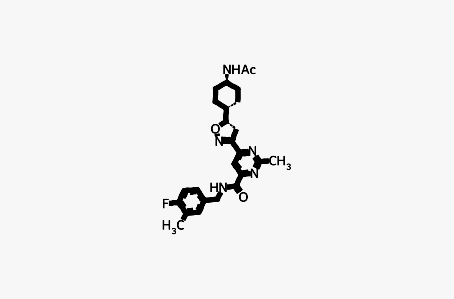 CC(=O)N[C@H]1CC[C@H]([C@@H]2CC(c3cc(C(=O)NCc4ccc(F)c(C)c4)nc(C)n3)=NO2)CC1